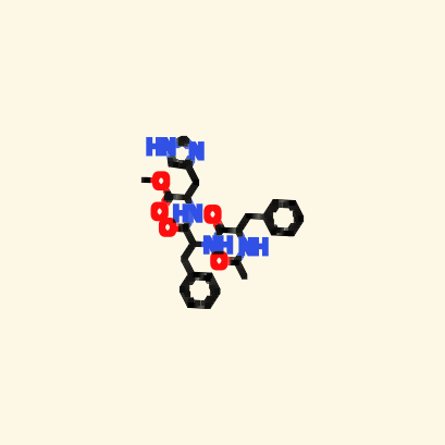 COC(=O)C(Cc1c[nH]cn1)NC(=O)C(Cc1ccccc1)NC(=O)C(Cc1ccccc1)NC(C)=O